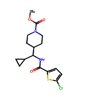 CC(C)(C)OC(=O)N1CCC(C(NC(=O)c2ccc(Cl)s2)C2CC2)CC1